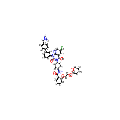 CN(C)Cc1ccc(-c2cccc(-n3c(=O)n(C4CCC(NC(=O)c5ccccc5OCCOC5CCCCO5)CC4)c(=O)c4cc(F)cnc43)c2)cc1